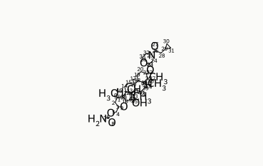 C[C@@H]1CC(COC(N)=O)OC2[C@H]1C1(C)CCC34CC35CCC(O[C@H]3CN(C(=O)CC6CC6)CCO3)C(C)(C)[C@@H]5CCC4[C@]1(C)[C@H]2O